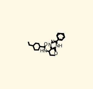 CCC1CCC(C(=O)NC(CC)c2nnc(-c3ccccc3)[nH]c2=O)CC1